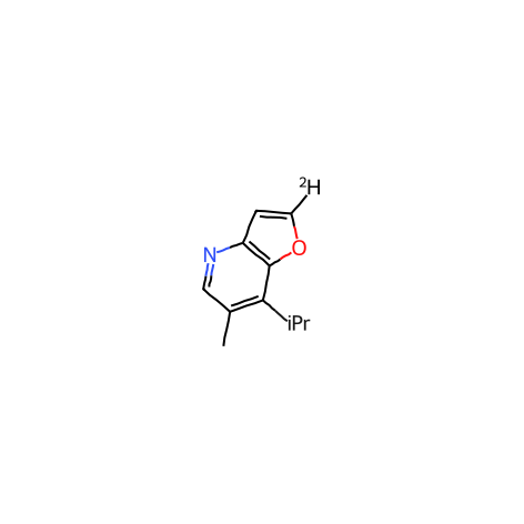 [2H]c1cc2ncc(C)c(C(C)C)c2o1